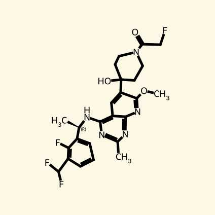 COc1nc2nc(C)nc(N[C@H](C)c3cccc(C(F)F)c3F)c2cc1C1(O)CCN(C(=O)CF)CC1